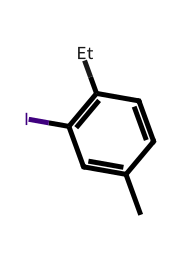 CCc1ccc(C)cc1I